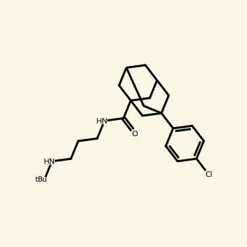 CC(C)(C)NCCCNC(=O)C12CC3CC(C1)CC(c1ccc(Cl)cc1)(C3)C2